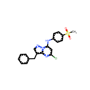 CS(=O)(=O)c1ccc(Nc2cc(Cl)nc3c(Cc4ccccc4)cnn23)cc1